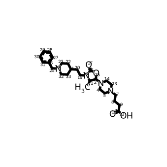 CC1C(N2CCN(CCCC(=O)O)CC2)OC(=O)N1CCC1CCN(Cc2ccccc2)CC1